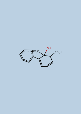 O=C(O)C1C=CC=C(c2ccccc2)C1(O)C(=O)O